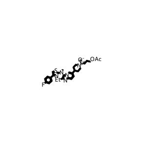 CCc1nc2ccc(C3CCN([S+]([O-])CCCOC(C)=O)CC3)cn2c1N(C)c1nc(-c2ccc(F)cc2)cs1